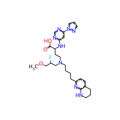 COCC(F)CN(CCCCc1ccc2c(n1)NCCC2)CCC(Nc1cc(-n2cccn2)ncn1)C(=O)O